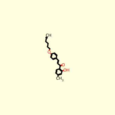 C#CCCCCOc1ccc(C=CC(=O)c2ccc(C)cc2O)cc1